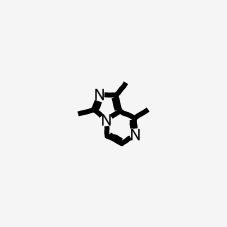 Cc1nccn2c(C)nc(C)c12